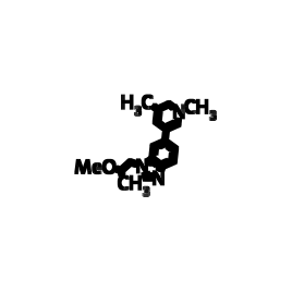 COC(C)Cn1cnc2ccc(C3=CN(C)CC(C)=C3)cc21